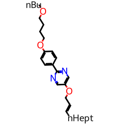 CCCCCCC/C=C/COc1cnc(-c2ccc(OCCCCOCCCC)cc2)nc1